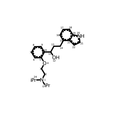 CC(C)N(CCOc1ccccc1C(O)CCc1cccc2[nH]ccc12)C(C)C